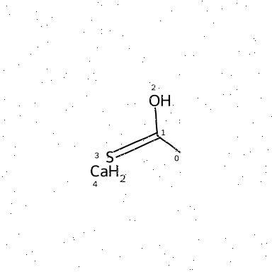 CC(O)=S.[CaH2]